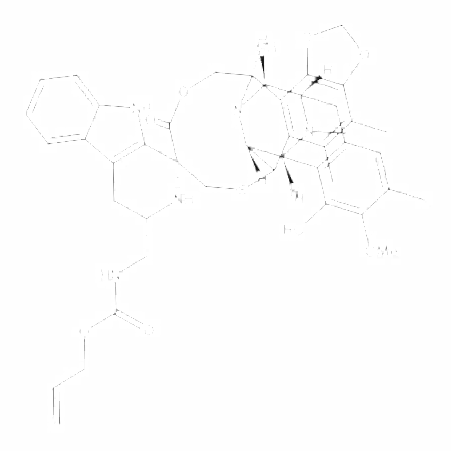 C=CCOC(=O)NC[C@@H]1Cc2c([nH]c3ccccc23)[C@@]2(CS[C@@H]3c4c(C)c(C)c5c(c4[C@H](COC2=O)N2[C@@H]3[C@H]3c4c(cc(C)c(OC)c4O)C[C@@H]([C@@H]2O)N3C)OCO5)N1